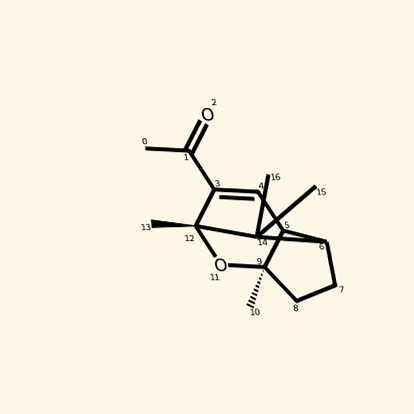 CC(=O)C1=CC2C3CC[C@@]2(C)O[C@@]1(C)C3(C)C